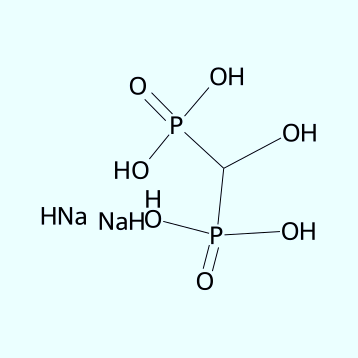 O=P(O)(O)C(O)P(=O)(O)O.[NaH].[NaH]